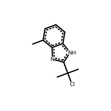 Cc1cccc2[nH]c(C(C)(C)Cl)nc12